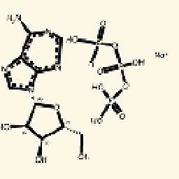 Nc1ncnc2c1ncn2[C@@H]1O[C@H](CO)[C@@H](O)[C@H]1O.O=P([O-])(O)OP(=O)(O)OP(=O)(O)O.[Na+]